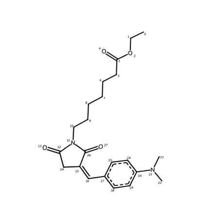 CCOC(=O)CCCCCCN1C(=O)CC(=Cc2ccc(N(C)C)cc2)C1=O